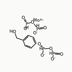 O=[PH]([O-])O[PH](=O)[O-].O=[PH]([O-])O[PH](=O)[O-].OCc1ccccc1.[Mo+4]